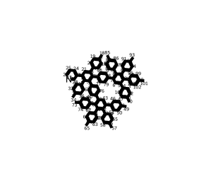 Cc1ccc(-c2cc(-c3ccc(-c4c(-c5ccc(C)cc5)cc(-c5cccnc5)c(-c5ccc(C)cc5)c4-c4ccc(-c5cc(-c6ccc(C)cc6)c(-c6ccc(C)cc6)c(-c6ccc(C)cc6)c5-c5ccc(C)cc5)cc4)cc3)c(-c3ccc(C)cc3)c(-c3ccc(C)cc3)c2-c2ccc(C)cc2)cc1